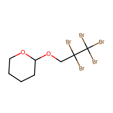 BrC(Br)(Br)C(Br)(Br)COC1CCCCO1